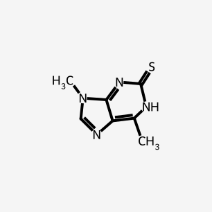 Cc1[nH]c(=S)nc2c1ncn2C